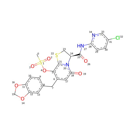 CS(=O)(=O)Oc1c(Cc2ccc3c(c2)OCO3)cc(=O)n2c1SC[C@H]2C(=O)Nc1ccc(Cl)cn1